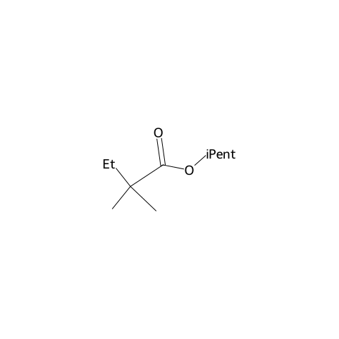 CCCC(C)OC(=O)C(C)(C)CC